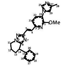 COc1nc(C=Cc2nc3n(n2)CCCC3c2ccccc2)ccc1-n1cnc(C)c1